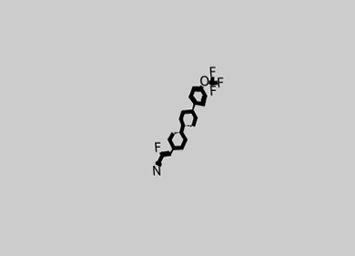 N#CC(F)=C[C@H]1CC[C@H]([C@H]2CC[C@H](c3ccc(OC(F)(F)F)cc3)CC2)CC1